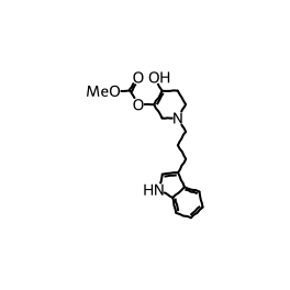 COC(=O)OC1=C(O)CCN(CCCc2c[nH]c3ccccc23)C1